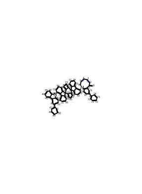 C=C1/C=C\C=C/CN(c2cccc3c2-c2ccccc2C32c3ccccc3C3(c4ccccc4-c4c(-n5c6ccccc6c6cc(-c7ccccc7)ccc65)cccc43)c3ccccc32)c2ccc(-c3ccccc3)cc21